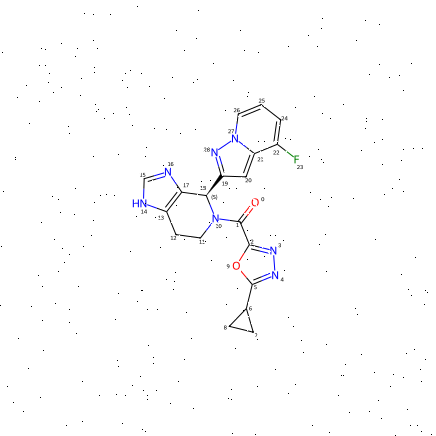 O=C(c1nnc(C2CC2)o1)N1CCc2[nH]cnc2[C@H]1c1cc2c(F)cccn2n1